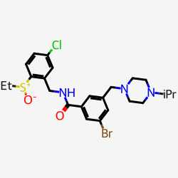 CC[S+]([O-])c1ccc(Cl)cc1CNC(=O)c1cc(Br)cc(CN2CCN(C(C)C)CC2)c1